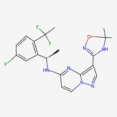 C[C@@H](Nc1ccn2ncc(C3=NOC(C)(C)N3)c2n1)c1cc(F)ccc1C(C)(F)F